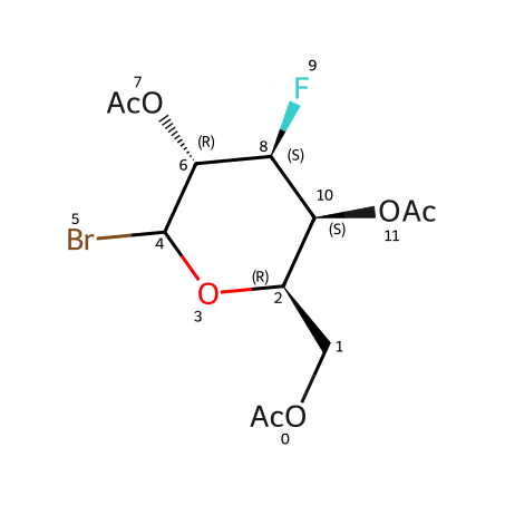 CC(=O)OC[C@H]1OC(Br)[C@H](OC(C)=O)[C@@H](F)[C@H]1OC(C)=O